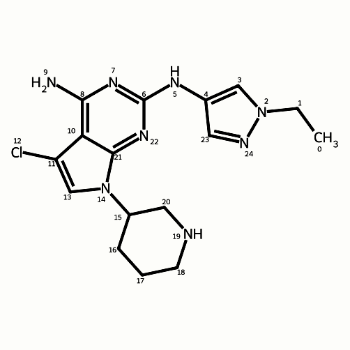 CCn1cc(Nc2nc(N)c3c(Cl)cn(C4CCCNC4)c3n2)cn1